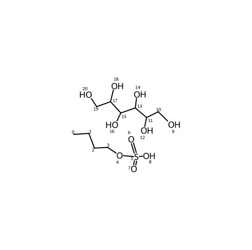 CCCCOS(=O)(=O)O.OCC(O)C(O)C(O)C(O)CO